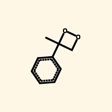 CC1(c2ccccc2)COO1